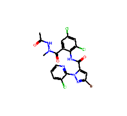 CC(=O)NN(C)C(=O)c1cc(Cl)cc(Cl)c1NC(=O)c1cc(Br)nn1-c1ncccc1Cl